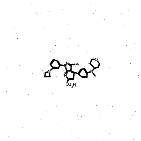 CC(C)c1nn(-c2cccc(N3CCC3)c2)c2nc(C(=O)O)cc(-c3ccc(N(C)C4CCOCC4)cc3)c12